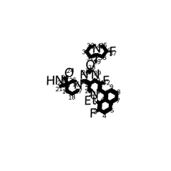 CCc1c(F)ccc2cccc(-c3ncc4c(N5CCCC6(CNC6=O)C5)nc(OC[C@@]56CCCN5C[C@H](F)C6)nc4c3F)c12